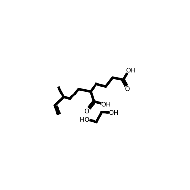 C=CC(C)CCC(CCCC(=O)O)C(=O)O.OCCO